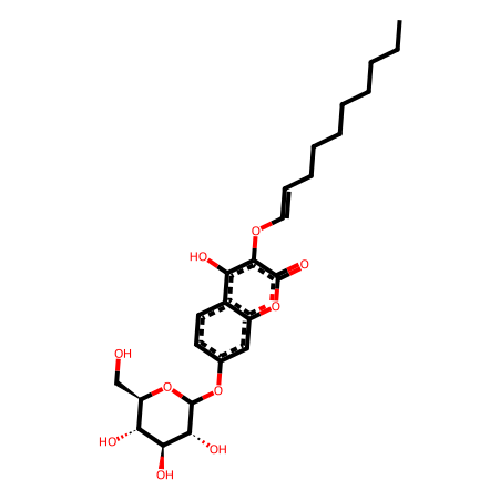 CCCCCCCC/C=C/Oc1c(O)c2ccc(OC3O[C@H](CO)[C@@H](O)[C@H](O)[C@H]3O)cc2oc1=O